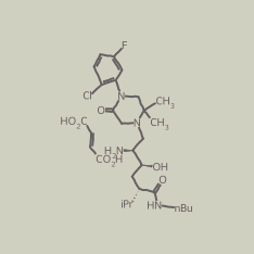 CCCCNC(=O)[C@@H](C[C@H](O)[C@@H](N)CN1CC(=O)N(c2cc(F)ccc2Cl)CC1(C)C)C(C)C.O=C(O)/C=C/C(=O)O